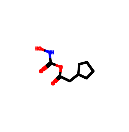 O=C(CC1CCCC1)OC(=O)NO